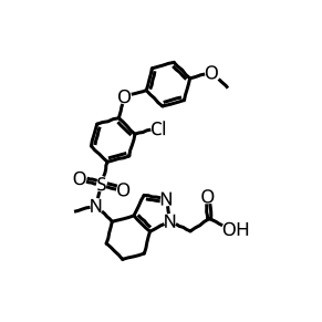 COc1ccc(Oc2ccc(S(=O)(=O)N(C)C3CCCc4c3cnn4CC(=O)O)cc2Cl)cc1